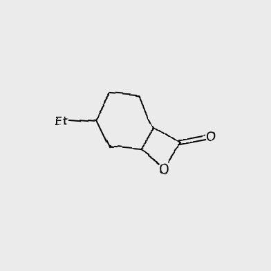 CCC1CCC2C(=O)OC2C1